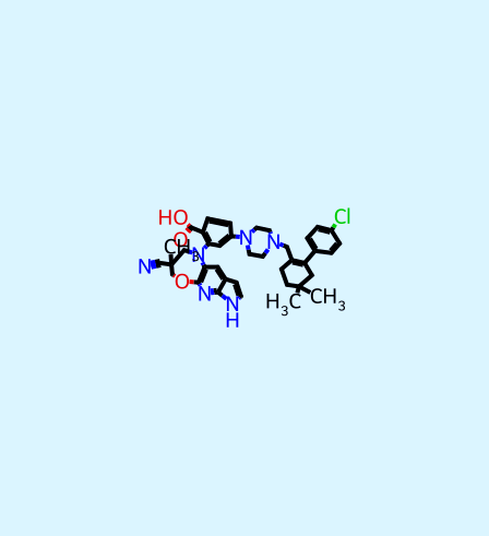 CC1(C)CCC(CN2CCN(c3ccc(C(=O)O)c(N4CC(C)(C#N)COc5nc6[nH]ccc6cc54)c3)CC2)=C(c2ccc(Cl)cc2)C1